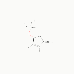 C=C1C[C@H](O[Si](C)(C)C(C)(C)C)C(C)=C1CC